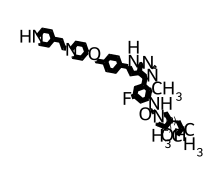 Cc1c(NC(=O)N2C[C@@H](CC(C)C)[C@H](O)C2)cc(F)cc1-c1ncnc2[nH]c(-c3ccc(COC4CCN(CCC5CCNCC5)CC4)cc3)cc12